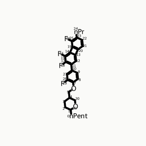 CCCCCC1CCC(COc2ccc(-c3cc4c(c(F)c3F)-c3c-4ccc(CCC)c3F)cc2F)CO1